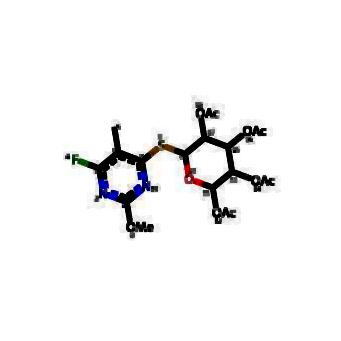 COc1nc(F)c(C)c(SC2OC(OC(C)=O)C(OC(C)=O)C(OC(C)=O)C2OC(C)=O)n1